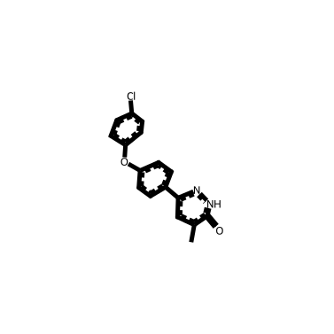 Cc1cc(-c2ccc(Oc3ccc(Cl)cc3)cc2)n[nH]c1=O